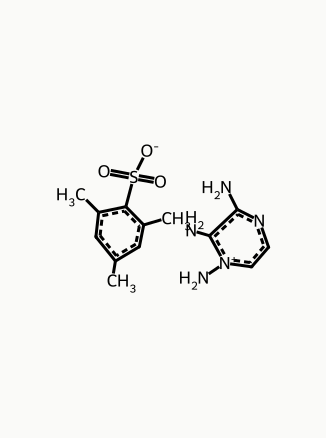 Cc1cc(C)c(S(=O)(=O)[O-])c(C)c1.Nc1ncc[n+](N)c1N